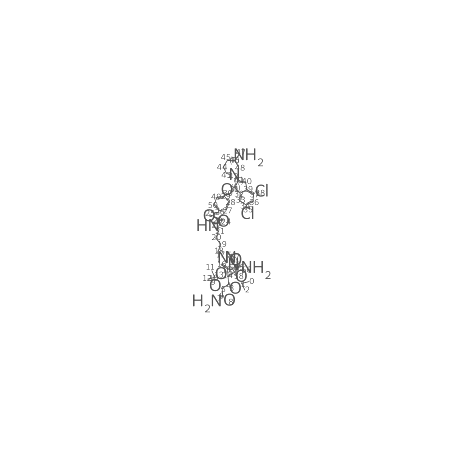 CC1(C)OC2C(C(N)=O)OC(C)(C)OC2(c2cn(CCCCNS(=O)(=O)c3ccc(O[C@H]4c5cc(Cl)cc(Cl)c5C[C@@H]4N4CCC[C@@H](N)C4)cc3)nn2)C(C)(C(N)=O)O1